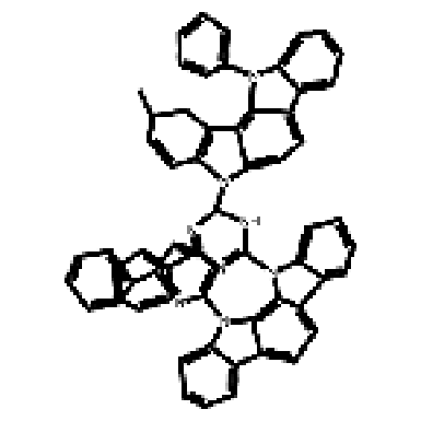 CC1C=Cc2c(c3c(ccc4c5ccccc5n(-c5ccccc5)c43)n2C2N=C(c3ccccc3)N=C(n3c4ccccc4c4ccc5c6ccccc6n(-c6cccc(-c7ccccc7)n6)c5c43)N2)C1